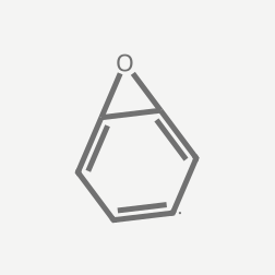 [c]1ccc2c(c1)O2